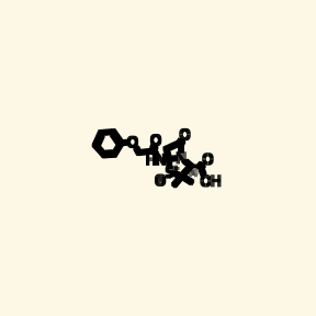 CC1(C)[C@H](C(=O)O)N2C(=O)CC2(NC(=O)COc2ccccc2)[S@@+]1[O-]